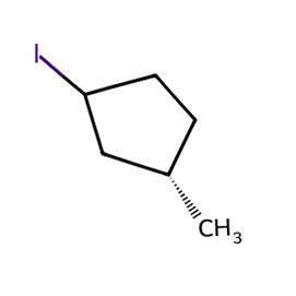 C[C@H]1CCC(I)C1